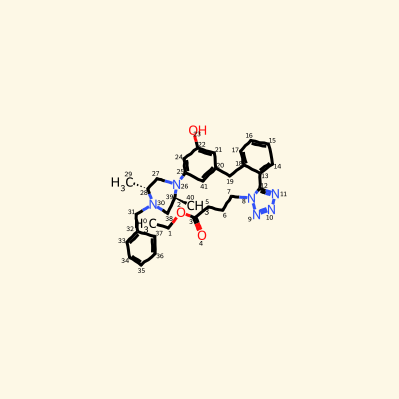 CCOC(=O)CCCn1nnnc1-c1ccccc1Cc1cc(O)cc(N2C[C@@H](C)N(Cc3ccccc3)C[C@@H]2C)c1